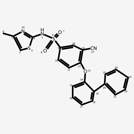 Cc1csc(NS(=O)(=O)c2ccc(Oc3ccccc3-c3ccccc3)c(C#N)c2)n1